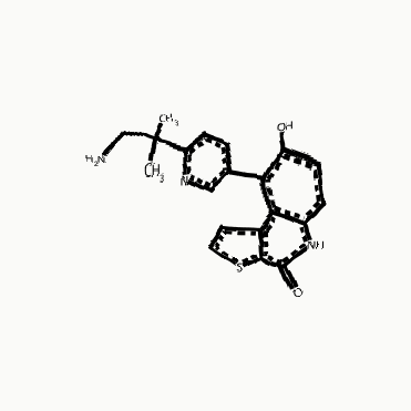 CC(C)(CN)c1ccc(-c2c(O)ccc3[nH]c(=O)c4sccc4c23)cn1